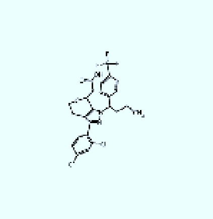 CCCC(c1ccc(C(F)(F)F)cc1)n1nc(-c2ccc(Cl)cc2Cl)c2c1C(CC(=O)O)CCC2